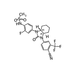 CS(=O)(=O)Nc1ccc(N2C(=O)N(c3ccc(C#N)c(C(F)(F)F)c3)[C@@H]3CCCC[C@H]32)cc1F